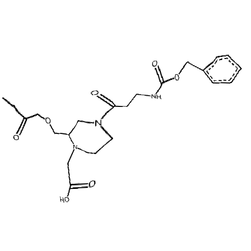 CCC(=O)OCC1CN(C(=O)CCNC(=O)OCc2ccccc2)CCN1CC(=O)O